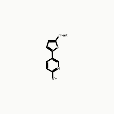 CCCCCc1ccc(-c2ccc(CCC)nc2)s1